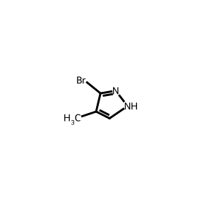 Cc1c[nH]nc1Br